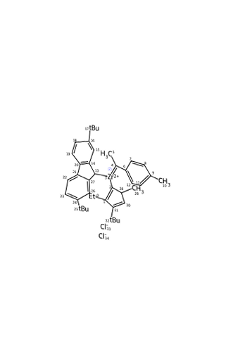 CCC1=[C](/[Zr+2](=[C](/C)c2ccc(C)cc2)[CH]2c3cc(C(C)(C)C)ccc3-c3ccc(C(C)(C)C)cc32)C(C)C=C1C(C)(C)C.[Cl-].[Cl-]